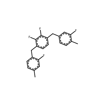 Cc1ccc(Cc2ccc(Cc3ccc(C)c(F)c3)c(F)c2F)c(F)c1